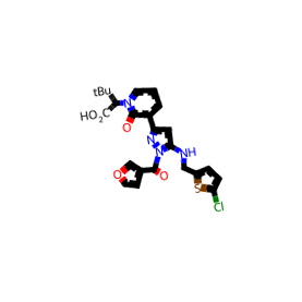 CC(C)(C)C(C(=O)O)n1cccc(-c2cc(NCc3ccc(Cl)s3)n(C(=O)c3ccoc3)n2)c1=O